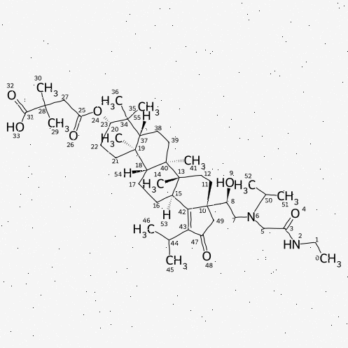 CCNC(=O)CN(C[C@H](O)[C@@]12CC[C@]3(C)[C@H](CC[C@@H]4[C@@]5(C)CC[C@H](OC(=O)CC(C)(C)C(=O)O)C(C)(C)[C@@H]5CC[C@]43C)C1=C(C(C)C)C(=O)C2)C(C)C